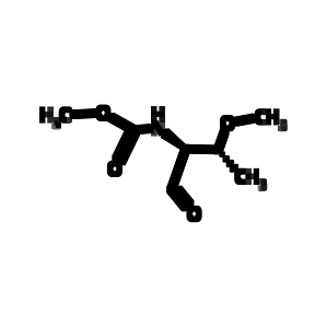 COC(=O)N[C@H](C=O)[C@@H](C)OC